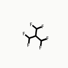 FC(F)C(C(F)F)C(F)F